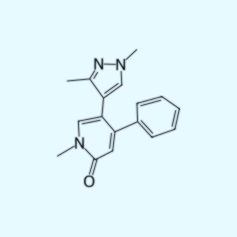 Cc1nn(C)cc1-c1cn(C)c(=O)cc1-c1ccccc1